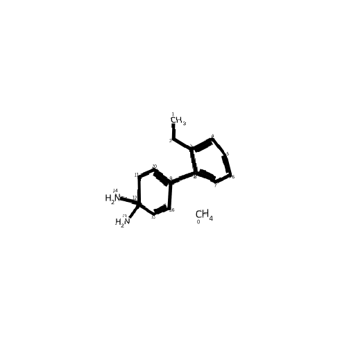 C.CCc1ccccc1C1=CCC(N)(N)C=C1